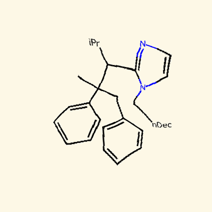 CCCCCCCCCCCn1ccnc1C(C(C)C)C(C)(Cc1ccccc1)c1ccccc1